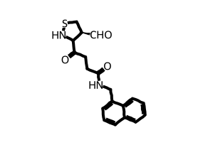 O=C[C@@H]1CSNC1C(=O)CCC(=O)NCc1cccc2ccccc12